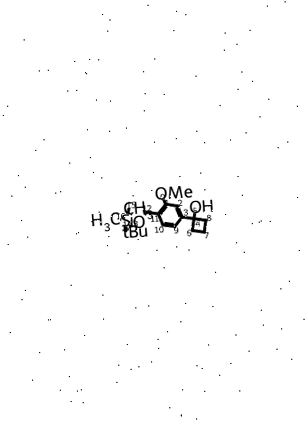 COc1cc(C2(O)CCC2)ccc1CO[Si](C)(C)C(C)(C)C